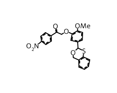 COc1ccc(C2OCc3ccccc3S2)cc1OCC(=O)c1ccc([N+](=O)[O-])cc1